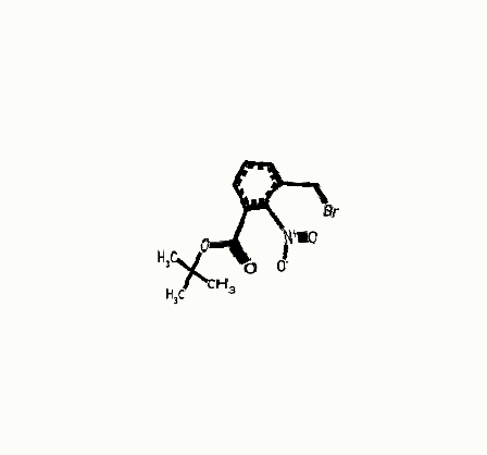 CC(C)(C)OC(=O)c1cccc(CBr)c1[N+](=O)[O-]